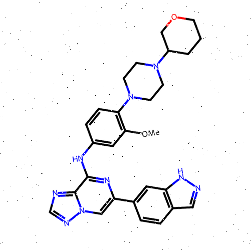 COc1cc(Nc2nc(-c3ccc4cn[nH]c4c3)cn3ncnc23)ccc1N1CCN(C2CCCOC2)CC1